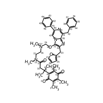 CC1=C(C)C(=O)C(C(C)(C)CC(=O)N(C)CCN(C)COc2c(Cc3ccco3)nc3c(Cc4ccccc4)nc(-c4ccccc4)cn23)=C(C)C1=O